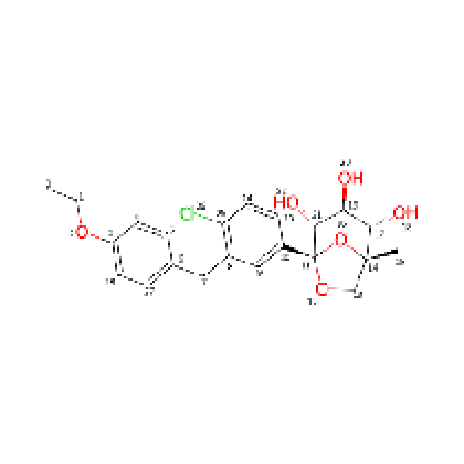 CCOc1ccc(Cc2cc([C@]34OC[C@](C)(O3)[C@@H](O)[C@H](O)[C@H]4O)ccc2Cl)cc1